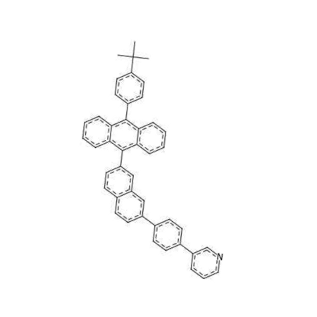 CC(C)(C)c1ccc(-c2c3ccccc3c(-c3ccc4ccc(-c5ccc(-c6cccnc6)cc5)cc4c3)c3ccccc23)cc1